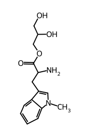 Cn1cc(CC(N)C(=O)OCC(O)CO)c2ccccc21